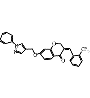 O=C1/C(=C\c2ccccc2C(F)(F)F)COc2cc(OCc3cnn(-c4ccccc4)c3)ccc21